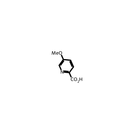 COc1ccc(C(=O)O)nc1